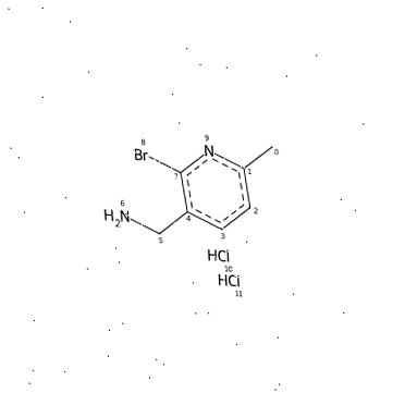 Cc1ccc(CN)c(Br)n1.Cl.Cl